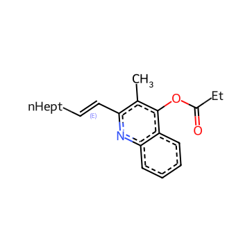 CCCCCCC/C=C/c1nc2ccccc2c(OC(=O)CC)c1C